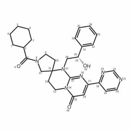 O=C(C1CCCCC1)N1CCC2(CCn3c(nc(-c4ccncn4)cc3=O)N2C[C@@H](O)c2ccccc2)C1